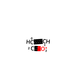 C#C.[C-]#[O+]